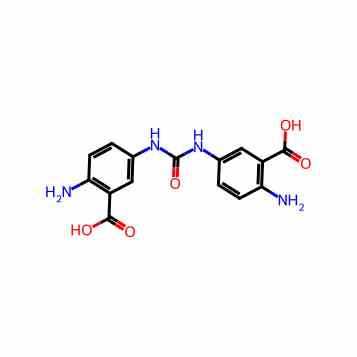 Nc1ccc(NC(=O)Nc2ccc(N)c(C(=O)O)c2)cc1C(=O)O